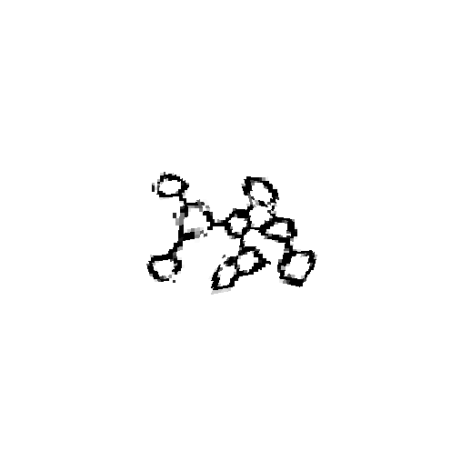 C1=CB2c3ccc(-c4ccccc4)cc3-c3c(-c4cccc5cccnc45)cc(-c4nc(-c5cccnc5)nc(-c5cccnc5)n4)cc3N2C=C1